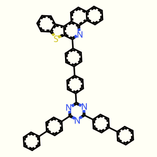 c1ccc(-c2ccc(-c3nc(-c4ccc(-c5ccccc5)cc4)nc(-c4ccc(-c5ccc(-c6nc7c8ccccc8ccc7c7c6sc6ccccc67)cc5)cc4)n3)cc2)cc1